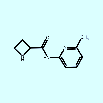 Cc1cccc(NC(=O)C2CCN2)n1